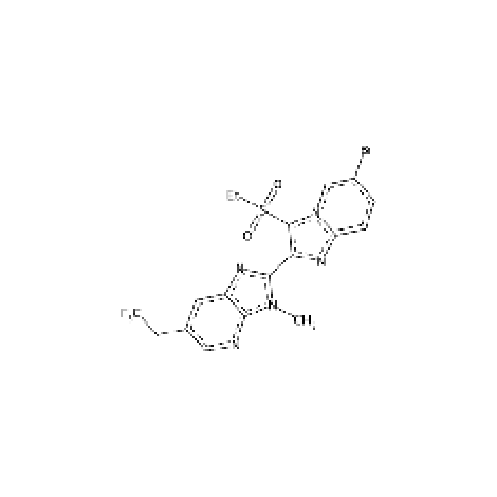 CCS(=O)(=O)c1c(-c2nc3cc(CC(F)(F)F)cnc3n2C)nc2ccc(Br)cn12